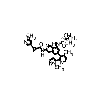 Cc1ccnc(-c2ccnn2C)c1-c1cc(NC(=O)OC(C)(C)C)c2cnc(NC(=O)C3CC3c3cnn(C)c3)cc2c1